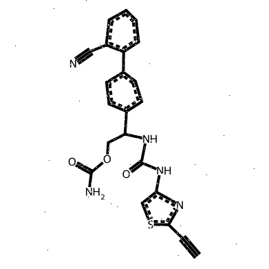 C#Cc1nc(NC(=O)NC(COC(N)=O)c2ccc(-c3ccccc3C#N)cc2)cs1